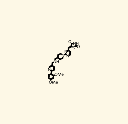 COc1ccc(-c2ccc(CNCC3CCN(c4nccc(/C=C5\SC(=O)NC5=O)n4)CC3)cn2)c(OC)c1